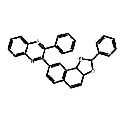 C1=CC2OC(c3ccccc3)NC2c2cc(-c3nc4ccccc4nc3-c3ccccc3)ccc21